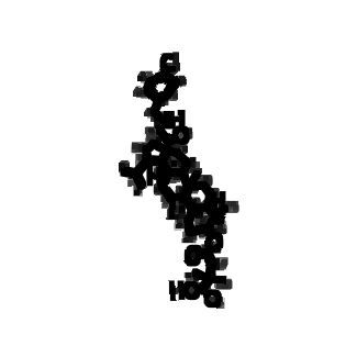 CC(C)C1=C2[C@H]3CC[C@@H]4[C@@]5(C)CC[C@H](OC(=O)CC(C)(C)C(=O)O)C(C)(C)[C@@H]5CC[C@@]4(C)[C@]3(C)CC[C@@]2(C(=O)CNCc2ccc(Cl)cc2)CC1